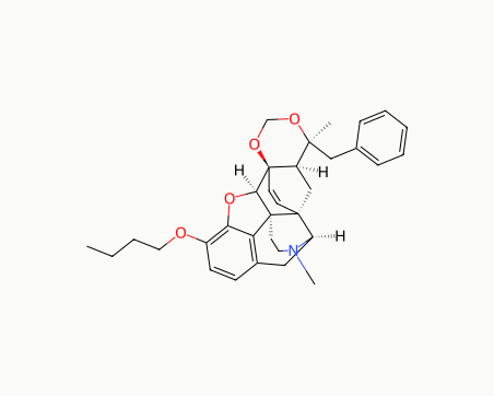 CCCCOc1ccc2c3c1O[C@H]1[C@@]45C=C[C@@]6(C[C@@H]4[C@](C)(Cc4ccccc4)OCO5)[C@@H](C2)N(C)CC[C@]316